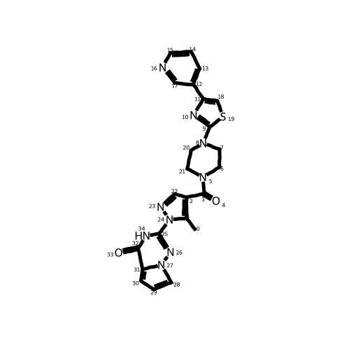 Cc1c(C(=O)N2CCN(c3nc(-c4cccnc4)cs3)CC2)cnn1-c1nn2cccc2c(=O)[nH]1